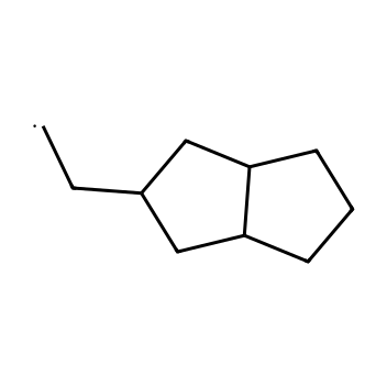 [CH2]CC1CC2CCCC2C1